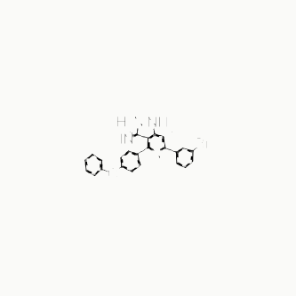 N=C(N)c1c(N)cc(-c2cccc(Br)c2)nc1-c1ccc(Oc2ccccc2)cc1